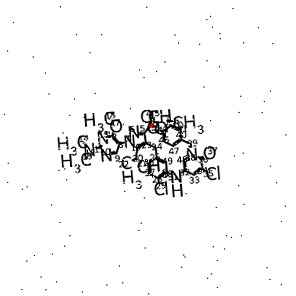 CCOC(=O)c1nn(-c2cnc(N(C)C)nc2OC)c(C(C)C)c1Cc1ccc(Cl)c(Nc2cc(Cl)c(=O)n(Cc3ccc(OC)cc3)c2)c1